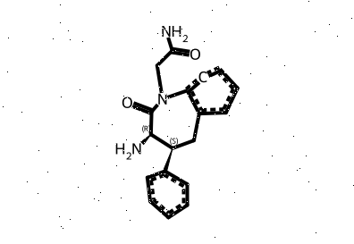 NC(=O)CN1C(=O)[C@H](N)[C@H](c2ccccc2)Cc2ccccc21